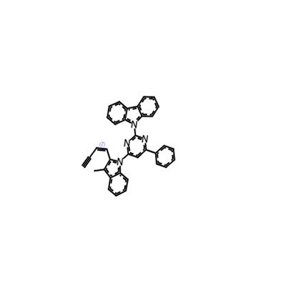 C#C/C=C\c1c(C)c2ccccc2n1-c1cc(-c2ccccc2)nc(-n2c3ccccc3c3ccccc32)n1